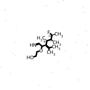 CC(C)=C(C(C=N)OCCO)[C@H](C)[C@H](C)[C@H](C)F